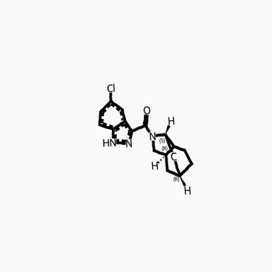 O=C(c1n[nH]c2ccc(Cl)cc12)N1C[C@@H]2C[C@H]3CCC2[C@@H]1C3